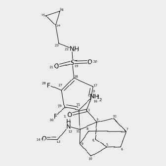 NC(=O)C12CC3CC(CC(C3)C1(NC=O)c1ccc(S(=O)(=O)NCC3CC3)c(F)c1F)C2